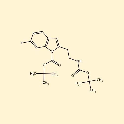 CC(C)(C)OC(=O)NCCc1cc2ccc(F)cc2n1C(=O)OC(C)(C)C